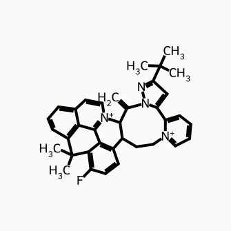 C=C1C2C(CC[n+]3ccccc3-c3cc(C(C)(C)C)nn31)c1ccc(F)c3c1-c1c4c(cccc4cc[n+]12)C3(C)C